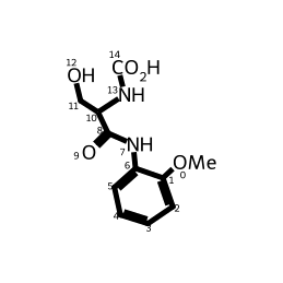 COc1ccccc1NC(=O)C(CO)NC(=O)O